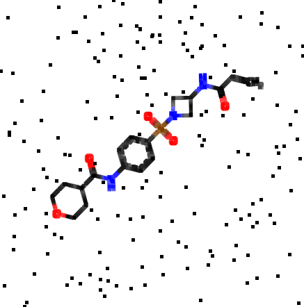 C=CC(=O)NC1CN(S(=O)(=O)c2ccc(NC(=O)C3CCOCC3)cc2)C1